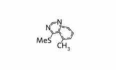 CSc1ncnc2cccc(C)c12